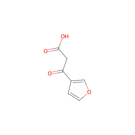 O=C(O)CC(=O)c1ccoc1